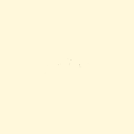 CC1CC(C)(CC(C)(C)c2ccccc2)c2ccccc21